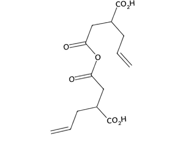 C=CCC(CC(=O)OC(=O)CC(CC=C)C(=O)O)C(=O)O